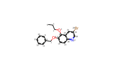 CCCOc1c(OCc2ccccc2)ccc2ncc(Br)cc12